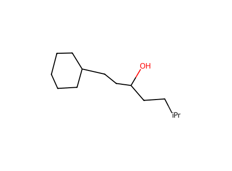 CC(C)CCC(O)CCC1CCCCC1